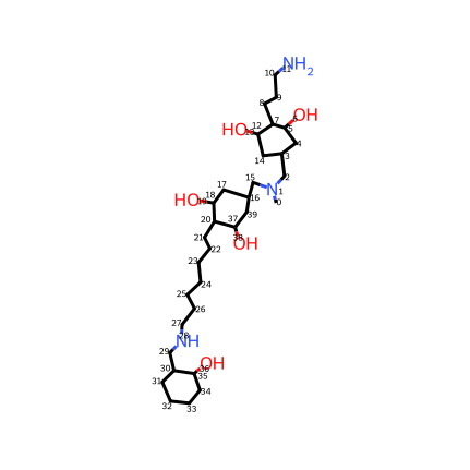 CN(CC1CC(O)C(CCCN)C(O)C1)CC1CC(O)C(CCCCCCCNCC2CCCCC2O)C(O)C1